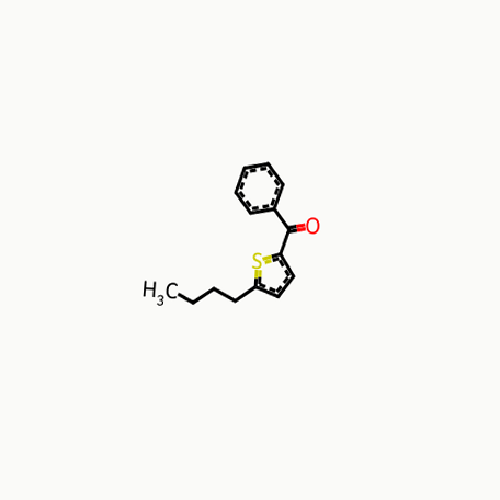 CCCCc1ccc(C(=O)c2ccccc2)s1